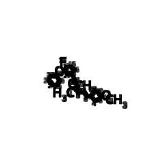 COc1ccc(C=CCC(C)(C)OCc2ccc(F)c(Oc3ccccc3)c2)cc1